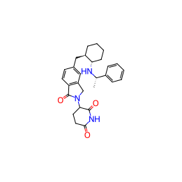 C[C@H](N[C@H]1CCCC[C@@H]1Cc1ccc2c(c1)CN(C1CCC(=O)NC1=O)C2=O)c1ccccc1